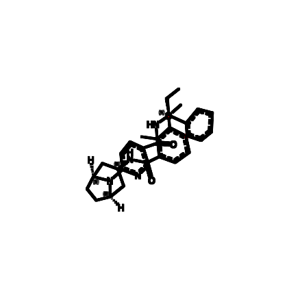 CC[C@H](NC(=O)c1ccc(N2[C@@H]3CC[C@H]2C[C@@H](NC(=O)c2cccc(OC)c2C)C3)nc1)c1ccccc1